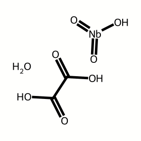 O.O=C(O)C(=O)O.[O]=[Nb](=[O])[OH]